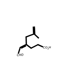 C=C(C)CC(=CC=O)CCC(=O)O